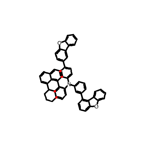 c1cc(-c2cccc3oc4ccccc4c23)cc(N(c2ccc(-c3ccc4oc5ccccc5c4c3)cc2)c2ccccc2-c2cccc3cccc(C4CCCCC4)c23)c1